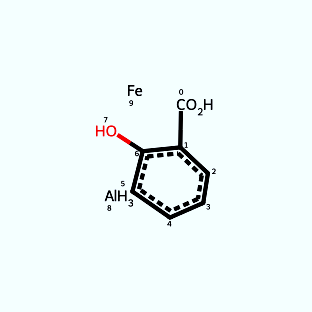 O=C(O)c1ccccc1O.[AlH3].[Fe]